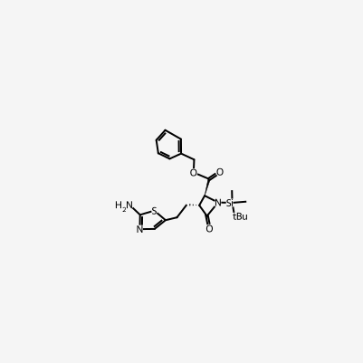 CC(C)(C)[Si](C)(C)N1C(=O)[C@H](CCc2cnc(N)s2)[C@H]1C(=O)OCc1ccccc1